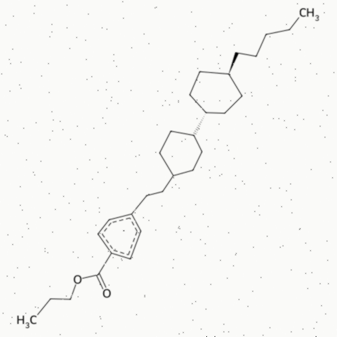 CCCCC[C@H]1CC[C@H](C2CCC(CCc3ccc(C(=O)OCCC)cc3)CC2)CC1